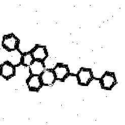 c1ccc(-c2ccc(-c3ccc4c(c3)Oc3cccc5c3B4c3cccc4c(-c6ccccc6)c(-c6ccccc6)n-5c34)cc2)cc1